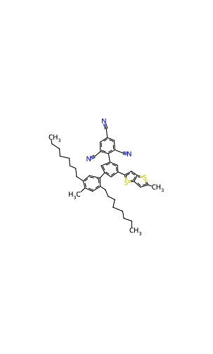 CCCCCCCCc1cc(-c2cc(-c3cc4sc(C)cc4s3)cc(-c3c(C#N)cc(C#N)cc3C#N)c2)c(CCCCCCCC)cc1C